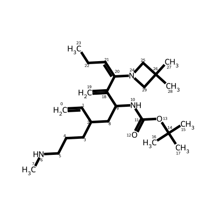 C=CC(CCCNC)CC(NC(=O)OC(C)(C)C)C(=C)/C(=C\CC)N1CC(C)(C)C1